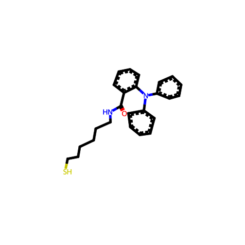 O=C(NCCCCCCS)c1ccccc1N(c1ccccc1)c1ccccc1